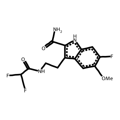 COc1cc2c(CCNC(=O)C(F)F)c(C(N)=O)[nH]c2cc1F